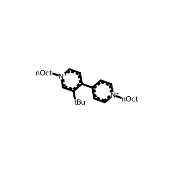 CCCCCCCC[n+]1ccc(-c2cc[n+](CCCCCCCC)cc2C(C)(C)C)cc1